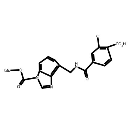 CC(C)(C)OC(=O)n1cnc2c(CNC(=O)c3ccc(C(=O)O)c(Cl)c3)cccc21